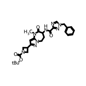 CN1C(=O)C(NC(=O)c2ncn(Cc3ccccc3)n2)CCn2nc(C3CN(C(=O)OC(C)(C)C)C3)cc21